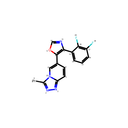 CC(C)c1nnc2ccc(-c3ocnc3-c3cccc(F)c3F)cn12